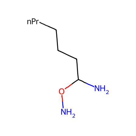 CCCCCCC(N)ON